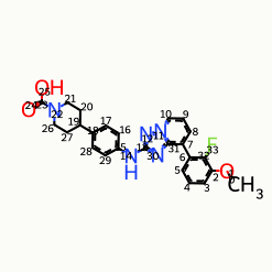 COc1cccc(-c2cccn3nc(Nc4ccc(C5CCN(C(=O)O)CC5)cc4)nc23)c1F